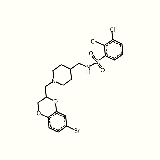 O=S(=O)(NCC1CCN(CC2COc3ccc(Br)cc3O2)CC1)c1cccc(Cl)c1Cl